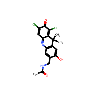 CC1(C)C2=C(Cl)C(=O)C(Cl)=CC2=Nc2cc(CNC(=O)C(F)(F)F)c(O)cc21